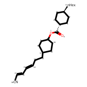 CCCCCC[C@H]1CC[C@H](C(=O)OC2CCC(CC/C=C/C=CC#N)CC2)CC1